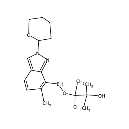 Cc1ccc2cn(C3CCCCO3)nc2c1BOC(C)(C)C(C)(C)O